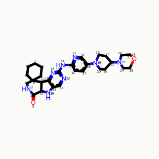 O=C1NCC2(CCCCC2)C2c3nc(Nc4ccc(N5CCC(N6CCOCC6)CC5)cn4)ncc3NC12